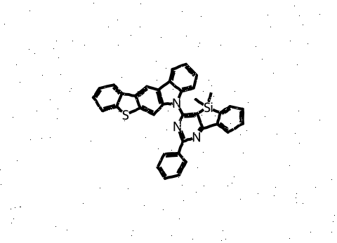 C[Si]1(C)c2ccccc2-c2nc(-c3ccccc3)nc(-n3c4ccccc4c4cc5c(cc43)sc3ccccc35)c21